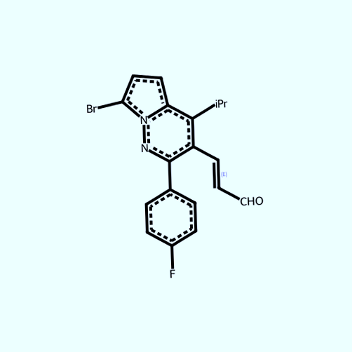 CC(C)c1c(/C=C/C=O)c(-c2ccc(F)cc2)nn2c(Br)ccc12